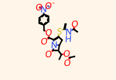 C=C(NC(C)=O)SC1=C(C(=O)OCc2ccc([N+](=O)[O-])cc2)N2C(=O)C(C(C)OC(C)=O)C2C1